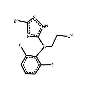 OCCN(c1nc(Br)n[nH]1)c1c(F)cccc1F